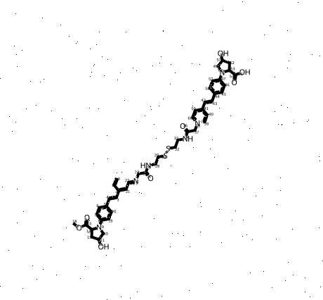 C=CC(/C=C/c1ccc(N2CC(O)CC2C(=O)OC)cc1)=C\C=N\CC(=O)NCCSSCCNC(=O)C[n+]1ccc(/C=C/c2ccc(N3CC(O)CC3C(=O)O)cc2)cc1